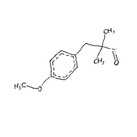 COc1ccc(CC(C)(C)[C]=O)cc1